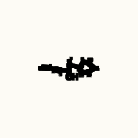 C#CC#CC(O)C(C)c1ccccc1